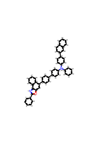 c1ccc(-c2nc3c(cc(-c4ccc(-c5ccc(N(c6ccccc6)c6ccc(-c7ccc8ccccc8c7)cc6)cc5)cc4)c4ccccc43)o2)cc1